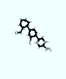 Nc1cnc(-c2ccc(-c3ccccc3CCl)cc2F)cn1